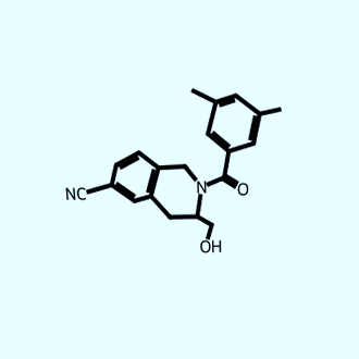 Cc1cc(C)cc(C(=O)N2Cc3ccc(C#N)cc3CC2CO)c1